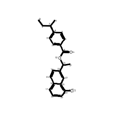 CCC(C)c1ccc(C(=O)OC(C)c2ccc3cccc(Cl)c3c2)cc1